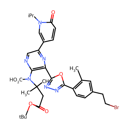 Cc1cc(CCBr)ccc1-c1nnc(-c2nc(-c3ccc(=O)n(C(C)C)c3)cnc2N(C(=O)O)C(C)(C)CC(=O)OC(C)(C)C)o1